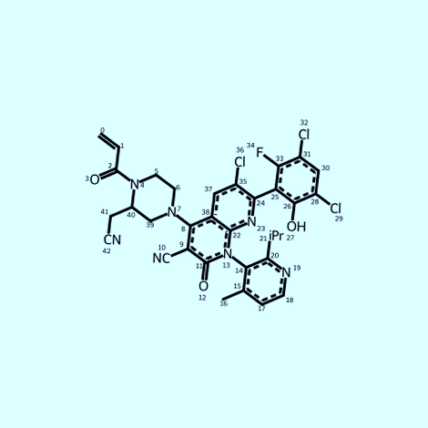 C=CC(=O)N1CCN(c2c(C#N)c(=O)n(-c3c(C)ccnc3C(C)C)c3nc(-c4c(O)c(Cl)cc(Cl)c4F)c(Cl)cc23)CC1CC#N